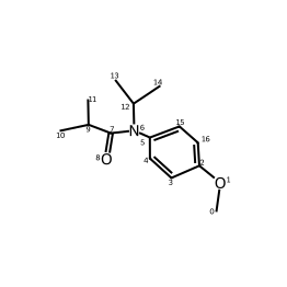 COc1ccc(N(C(=O)C(C)C)C(C)C)cc1